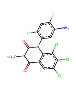 Nc1cc(N2C(=O)C(C(=O)O)C(=O)c3cc(Cl)c(Cl)c(Cl)c32)c(F)cc1F